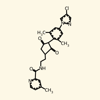 Cc1ccnc(C(=O)NCCC2CC(=O)C(c3c(C)cc(-n4cc(Cl)cn4)cc3C)C2=O)c1